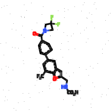 O=C(O)NCc1cc2cc(-c3ccc(C(=O)N4CC(F)(F)C4)cc3)cc(C(F)(F)F)c2o1